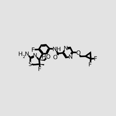 C[C@@]1(F)CSC(N)=N[C@]1(CO)c1cc(NC(=O)c2cnc(OCC3CC3(F)F)cn2)ccc1F